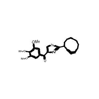 COc1cc(C(=O)c2csc(C3CCCCCCCCC3)n2)cc(OC)c1OC